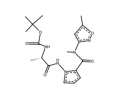 Cc1cc(N(C)C(=O)c2cccn2NC(=O)[C@H](C)NC(=O)OC(C)(C)C)no1